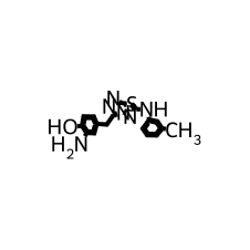 Cc1cccc(Nc2nn3c(Cc4ccc(O)c(N)c4)nnc3s2)c1